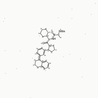 CNC(C)C(=O)NC(C(=O)N1CCCC1c1ccnc(N2CCCc3ccccc32)c1)C1CCCCC1